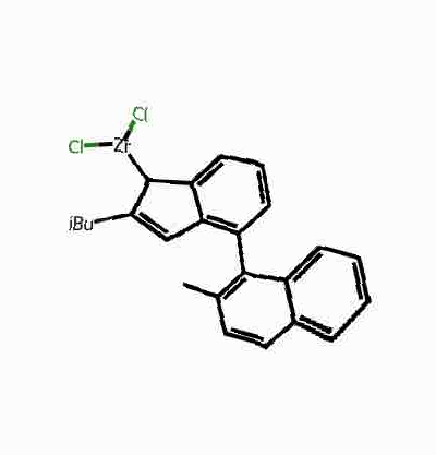 CCC(C)C1=Cc2c(-c3c(C)ccc4ccccc34)cccc2[CH]1[Zr]([Cl])[Cl]